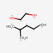 CCCCCCCCCCC(C(=O)O)C(=O)O.OCCO